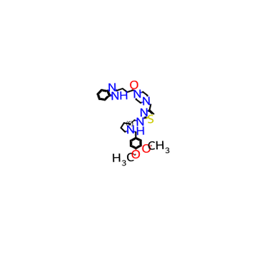 COc1ccc(CN2CCC[C@H]2CNc2nc(CN3CCN(C(=O)CCc4nc5ccccc5[nH]4)CC3)cs2)cc1OC